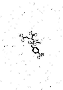 CCOP(=O)(Cc1ccc([N+](=O)[O-])cc1)N[C@@H](CCC(=O)OC)C(=O)OC